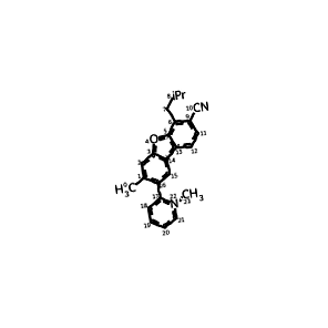 Cc1cc2oc3c(CC(C)C)c(C#N)ccc3c2cc1-c1cccc[n+]1C